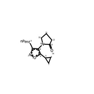 CCCCCc1noc(C2CC2)c1N1CCCC1=O